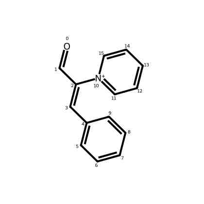 O=CC(=Cc1ccccc1)[n+]1ccccc1